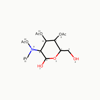 CC(=O)OC1C(CO)OC(O)C(N(OC(C)=O)C(C)C)C1OC(C)=O